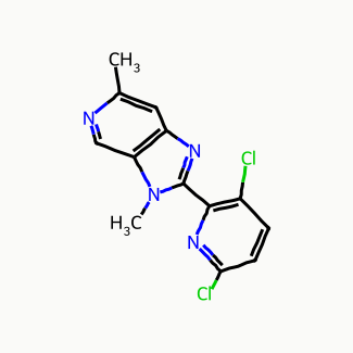 Cc1cc2nc(-c3nc(Cl)ccc3Cl)n(C)c2cn1